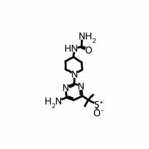 C[S+]([O-])C(C)(C)c1cc(N)nc(N2CCC(NC(N)=O)CC2)n1